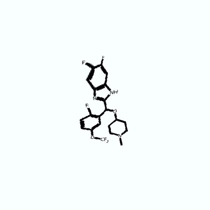 CN1CCC(OC(c2nc3cc(F)c(F)cc3[nH]2)c2cc(OC(F)(F)F)ccc2F)CC1